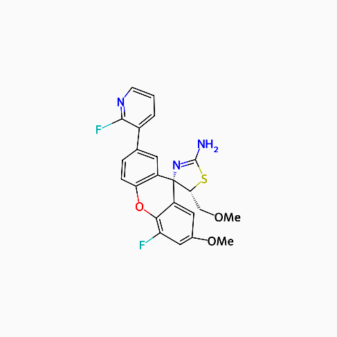 COC[C@H]1SC(N)=N[C@]12c1cc(-c3cccnc3F)ccc1Oc1c(F)cc(OC)cc12